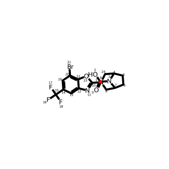 O=C(O)N1C2CCC1CN(c1nc3cc(C(F)(F)F)cc(Br)c3o1)C2